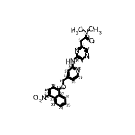 CN(C)C(=O)Cc1cncc(Nc2cc(COc3ccc([N+](=O)[O-])c4ccccc34)ccn2)n1